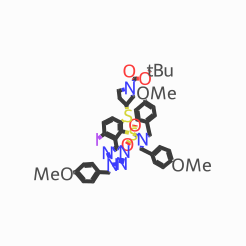 COc1ccc(CN(Cc2ccc(OC)cc2)S(=O)(=O)c2c(SC3CCN(C(=O)OC(C)(C)C)C3)ccc(I)c2-c2nnn(Cc3ccc(OC)cc3)n2)cc1